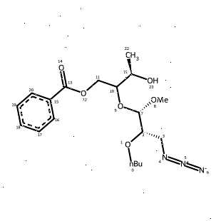 CCCCO[C@@H](CN=[N+]=[N-])[C@@H](OC)OC(COC(=O)c1ccccc1)[C@@H](C)O